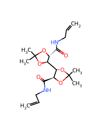 C=CCNC(=O)[C@H]1OC(C)(C)O[C@@H]1[C@@H]1OC(C)(C)O[C@H]1C(=O)NCC=C